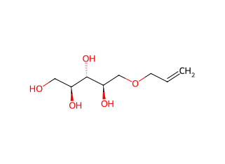 C=CCOC[C@@H](O)[C@@H](O)[C@@H](O)CO